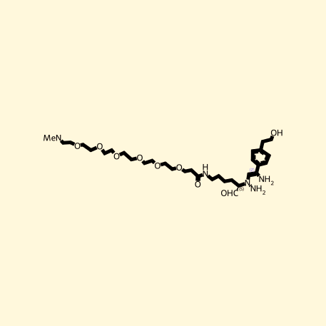 CNCCOCCOCCOCCOCCOCCOCCC(=O)NCCCC[C@@H](C=O)N(N)/C=C(\N)c1ccc(CCO)cc1